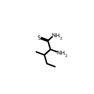 CCC(C)C(N)C(N)=S